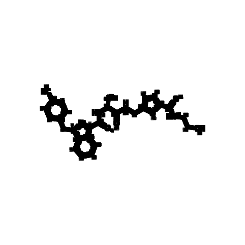 CC(C)(C)[C@H](NC(=O)c1nn(Cc2ccc(C#N)cc2)c2ccccc12)C(=O)NCc1nnc(C(=O)NCCO)o1